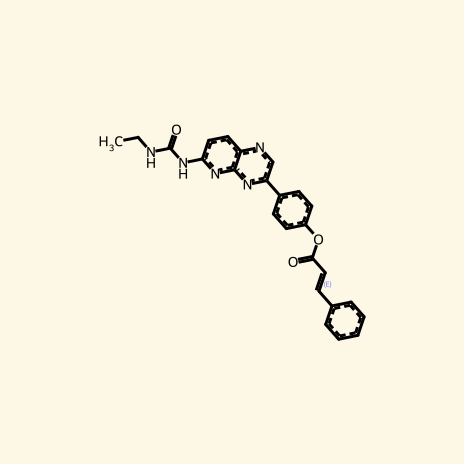 CCNC(=O)Nc1ccc2ncc(-c3ccc(OC(=O)/C=C/c4ccccc4)cc3)nc2n1